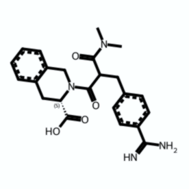 CN(C)C(=O)C(Cc1ccc(C(=N)N)cc1)C(=O)N1Cc2ccccc2C[C@H]1C(=O)O